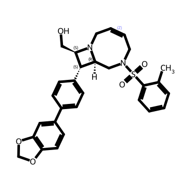 Cc1ccccc1S(=O)(=O)N1C/C=C\CN2[C@H](CO)[C@@H](c3ccc(-c4ccc5c(c4)OCO5)cc3)[C@@H]2C1